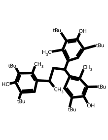 Cc1c(C(C)CC(c2cc(C(C)(C)C)c(O)c(C(C)(C)C)c2C)c2cc(C(C)(C)C)c(O)c(C(C)(C)C)c2C)cc(C(C)(C)C)c(O)c1C(C)(C)C